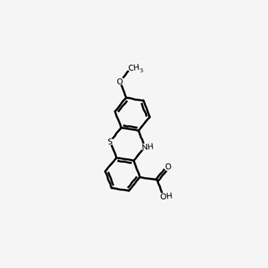 COc1ccc2c(c1)Sc1cccc(C(=O)O)c1N2